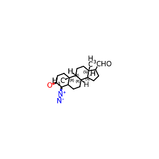 C[C@]12CCC(=O)C(=[N+]=[N-])C1CC[C@@H]1[C@H]2CC[C@]2(C)C(C=O)CC[C@@H]12